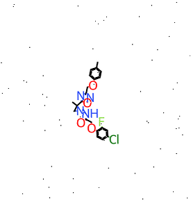 Cc1ccc(OCc2noc(C3(C)CN3NC(=O)COc3ccc(Cl)cc3F)n2)cc1